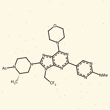 CNc1ncc(-c2nc(N3CCOCC3)c3nc(N4CCN(C(C)=O)[C@@H](C)C4)n(CC(F)(F)F)c3n2)cn1